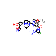 COc1cc(C(=O)N2C[C@H](N)C[C@@H](F)C2)cc2nc(-c3cc4ccc(-c5ccc(O)c(-c6ccno6)c5)nc4n3CC3CC3)n(C)c12